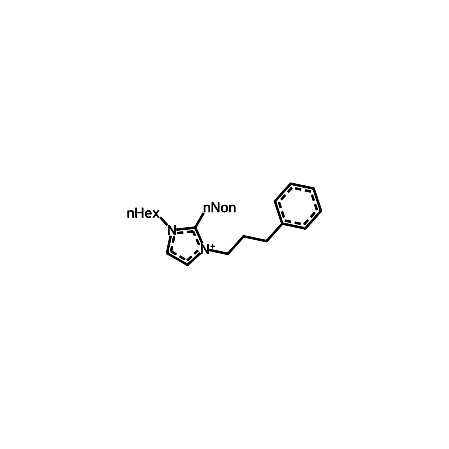 CCCCCCCCCc1n(CCCCCC)cc[n+]1CCCc1ccccc1